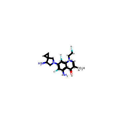 Nc1c(F)c(N2CC(N)C3(CC3)C2)c(F)c2c1c(=O)c(C(=O)O)cn2CCF